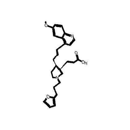 COc1ccc2nccc(CCC[C@@H]3CCN(CCCc4ccco4)C[C@@H]3CCC(=O)O)c2c1